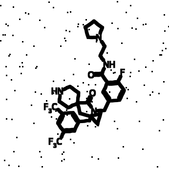 O=C(NCCN1CCCC1)c1cc(CN(Cc2cc(C(F)(F)F)cc(C(F)(F)F)c2)C(=O)C2(CC3CC3)CCNCC2)ccc1F